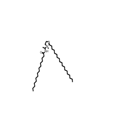 CCCCCCCCCCCCCCCCCCC1=NCC[N+]1(C)C(C)NC(=O)CCCCCCCCCCCCCCC